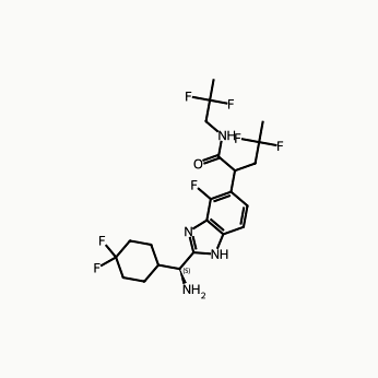 CC(F)(F)CNC(=O)C(CC(C)(F)F)c1ccc2[nH]c([C@@H](N)C3CCC(F)(F)CC3)nc2c1F